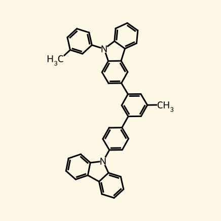 Cc1cc(-c2ccc(-n3c4ccccc4c4ccccc43)cc2)cc(-c2ccc3c(c2)c2ccccc2n3-c2cccc(C)c2)c1